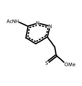 COC(=S)Cc1ccc(NC(C)=O)nn1